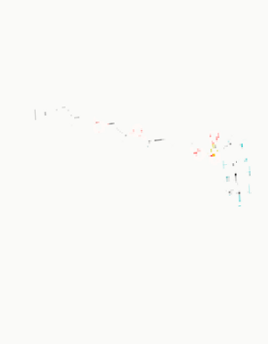 CCCCOCCOC(F)CCCOS(=O)(=O)C(F)(F)C(F)(F)C(F)(F)C(F)(F)F